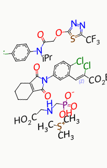 CC(C)N(C(=O)COc1nnc(C(F)(F)F)s1)c1ccc(F)cc1.CCOC(=O)/C(Cl)=C/c1cc(N2C(=O)C3=C(CCCC3)C2=O)ccc1Cl.C[S+](C)C.O=C(O)CNCP(=O)([O-])O